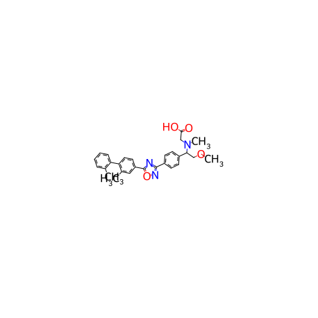 COCC(c1ccc(-c2noc(-c3ccc(-c4ccccc4C)c(C)c3)n2)cc1)N(C)CC(=O)O